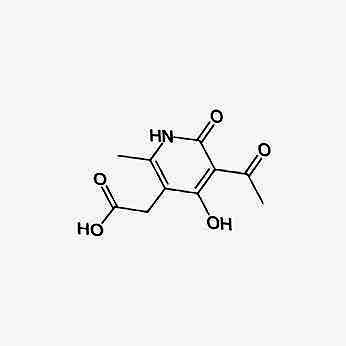 CC(=O)c1c(O)c(CC(=O)O)c(C)[nH]c1=O